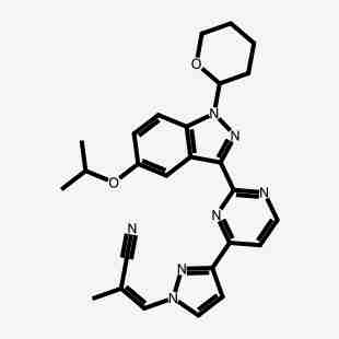 CC(C#N)=Cn1ccc(-c2ccnc(-c3nn(C4CCCCO4)c4ccc(OC(C)C)cc34)n2)n1